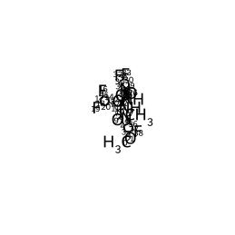 COc1ccc(N(C)C(=O)[C@H](CCc2cc(F)cc(F)c2)NC(=O)NS(=O)(=O)N2CCC(F)(F)CC2)cc1F